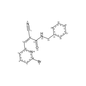 N#CC(=Cc1cccc(Br)n1)C(=O)NCc1ccccc1